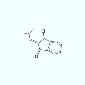 CN(C)C=C1C(=O)c2ccccc2C1Cl